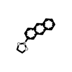 c1ccc2cc3cc(B4OCCO4)ccc3cc2c1